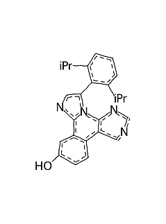 CC(C)c1cccc(C(C)C)c1-c1cnc2c3cc(O)ccc3c3cncnc3n12